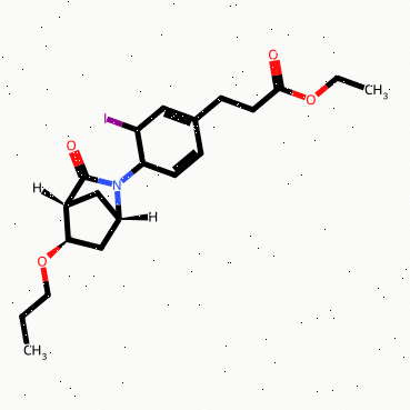 CCCO[C@@H]1C[C@@H]2C[C@H]1C(=O)N2C1C=CC(CCC(=O)OCC)=CC1I